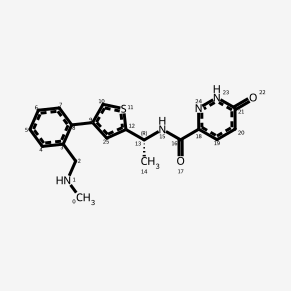 CNCc1ccccc1-c1csc([C@@H](C)NC(=O)c2ccc(=O)[nH]n2)c1